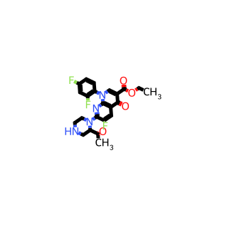 CCOC(=O)c1cn(-c2ccc(F)cc2F)c2nc(N3CCNCC3C(C)=O)c(F)cc2c1=O